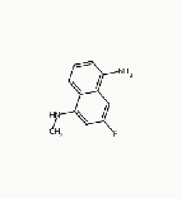 CNc1cc(F)cc2c(N)cccc12